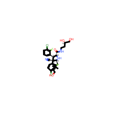 CC(C)(CCO)C[C@@H]1N[C@@H](C(=O)NCC[C@H](O)CO)[C@H](c2cccc(Cl)c2F)[C@@]1(C#N)c1ccc(Cl)cc1F